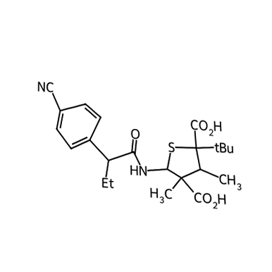 CCC(C(=O)NC1SC(C(=O)O)(C(C)(C)C)C(C)C1(C)C(=O)O)c1ccc(C#N)cc1